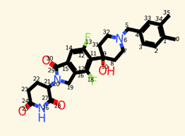 Cc1ccc(CN2CCC(O)(c3c(F)cc4c(c3F)CN(C3CCC(=O)NC3=O)C4=O)CC2)cc1C